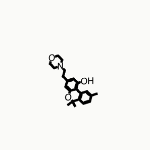 Cc1ccc2c(c1)-c1c(O)cc(CCN3CCOCC3)cc1OC2(C)C